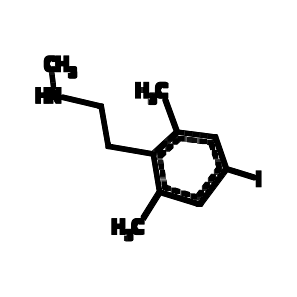 CNCCc1c(C)cc(I)cc1C